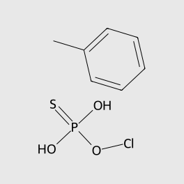 Cc1ccccc1.OP(O)(=S)OCl